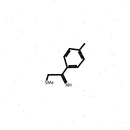 CSCC(=N)c1ccc(C)cc1